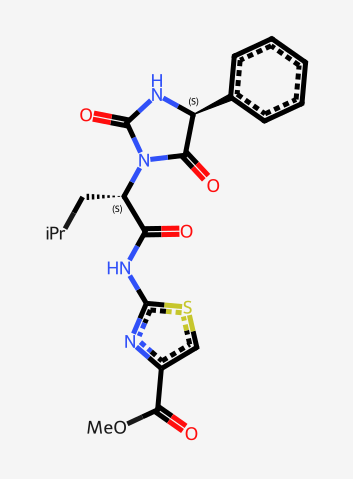 COC(=O)c1csc(NC(=O)[C@H](CC(C)C)N2C(=O)N[C@@H](c3ccccc3)C2=O)n1